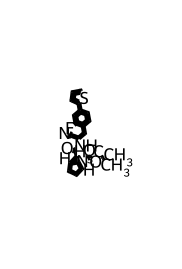 CC(C)(C)OC(=O)N1[C@@H]2CC[C@@H](C2)[C@H]1C(=O)NC(C#N)Cc1ccc(-c2cccs2)cc1F